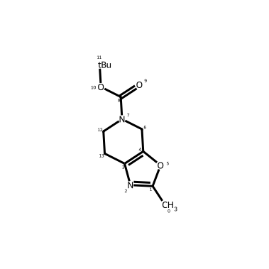 Cc1nc2c(o1)CN(C(=O)OC(C)(C)C)CC2